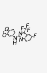 Fc1ccc2nc(Nc3ccc4c(c3)OCO4)nc(C(F)(F)F)c2c1